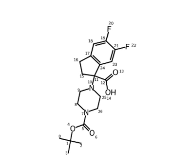 CC(C)(C)OC(=O)N1CCN(C2(C(=O)O)CCc3cc(F)c(F)cc32)CC1